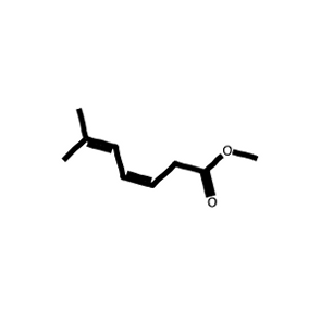 COC(=O)C/C=C\C=C(C)C